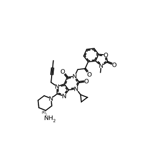 CC#CCn1c(N2CCC[C@@H](N)C2)nc2c1c(=O)n(CC(=O)c1cccc3oc(=O)n(C)c13)c(=O)n2C1CC1